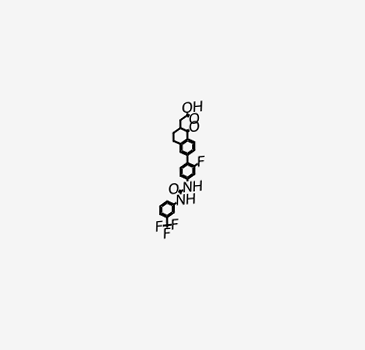 O=C(O)CC1CCc2cc(-c3ccc(NC(=O)Nc4cccc(C(F)(F)F)c4)cc3F)ccc2C1=O